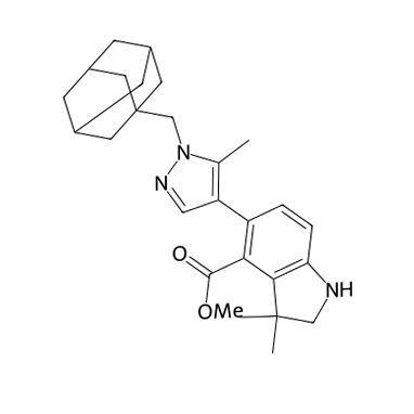 COC(=O)c1c(-c2cnn(CC34CC5CC(CC(C5)C3)C4)c2C)ccc2c1C(C)(C)CN2